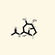 CC(=O)NC1CC(O)[C@H](O)C2CO[C@@H]1O2